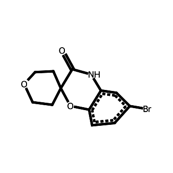 O=C1Nc2cc(Br)ccc2OC12CCOCC2